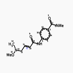 CNC(=O)c1ccc(NC(=O)/C=C/CN(C)OC)cc1